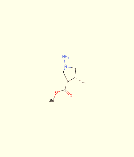 C[C@H]1CN(N)C[C@H]1C(=O)OC(C)(C)C